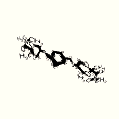 CN(C)C(=O)C1(C)OCC(SCc2ccc(CSC3COC(C)(C(=O)N(C)C)OC3)cc2)CO1